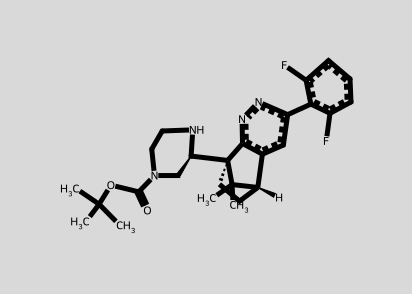 CC(C)(C)OC(=O)N1CCN[C@@H]([C@@]23CC[C@@H](c4cc(-c5c(F)cccc5F)nnc42)C3(C)C)C1